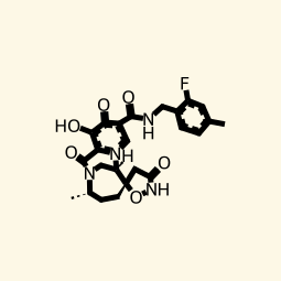 Cc1ccc(CNC(=O)c2cn3c(c(O)c2=O)C(=O)N2C[C@@H]3[C@]3(CC[C@@H]2C)CC(=O)NO3)c(F)c1